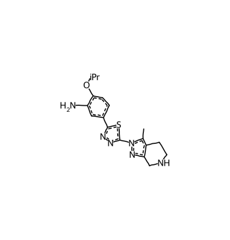 Cc1c2c(nn1-c1nnc(-c3ccc(OC(C)C)c(N)c3)s1)CNCC2